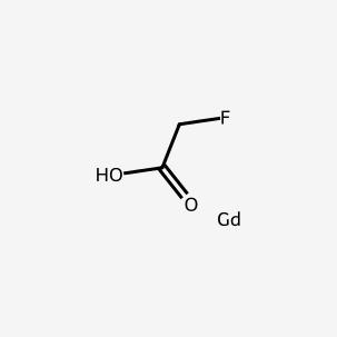 O=C(O)CF.[Gd]